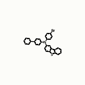 Brc1ccc(N(c2ccc(-c3ccccc3)cc2)c2ccc3sc4ccccc4c3c2)cc1